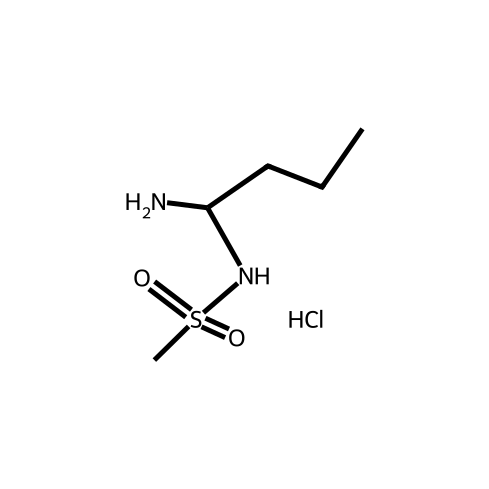 CCCC(N)NS(C)(=O)=O.Cl